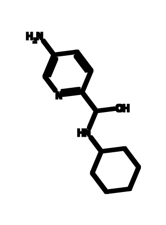 Nc1ccc(C(O)NC2CCCCC2)nc1